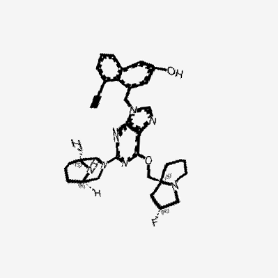 C#Cc1cccc2cc(O)cc(Cn3cnc4c(OC[C@@]56CCCN5C[C@H](F)C6)nc(N5C[C@H]6CC[C@@H](C5)N6)nc43)c12